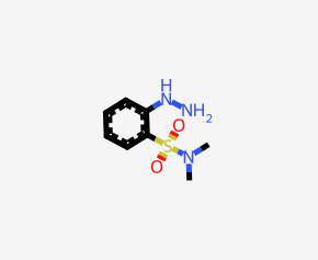 CN(C)S(=O)(=O)c1ccccc1NN